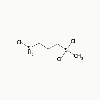 C[Si](Cl)(Cl)CCC[SiH2]Cl